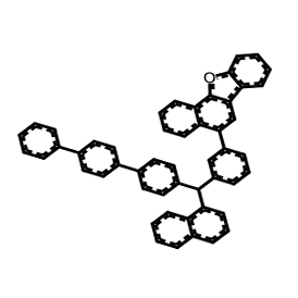 c1ccc(-c2ccc(-c3ccc(C(c4cccc(-c5cc6c7ccccc7oc6c6ccccc56)c4)c4cccc5ccccc45)cc3)cc2)cc1